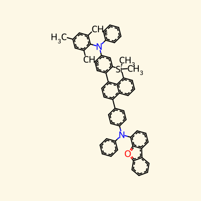 Cc1cc(C)c(N(c2ccccc2)c2ccc3c(c2)[Si](C)(C)c2cccc4c(-c5ccc(N(c6ccccc6)c6cccc7c6oc6ccccc67)cc5)ccc-3c24)c(C)c1